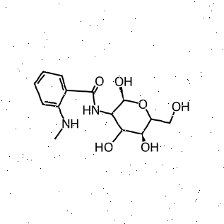 CNc1ccccc1C(=O)NC1C(O)[C@H](O)C(CO)O[C@@H]1O